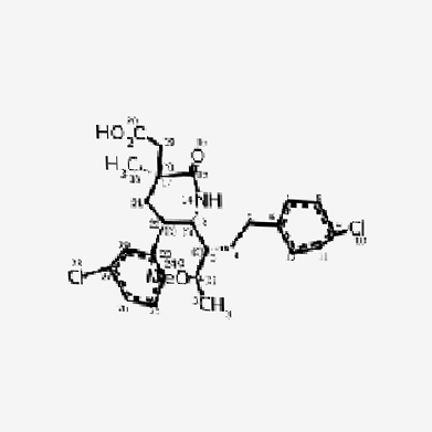 CO[C@@H](C)[C@@H](CCc1ccc(Cl)cc1)[C@H]1NC(=O)[C@](C)(CC(=O)O)C[C@@H]1c1cccc(Cl)c1